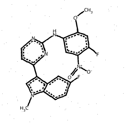 COc1cc(F)c([N+](=O)[O-])cc1Nc1nccc(-c2cn(C)c3ccc(F)cc23)n1